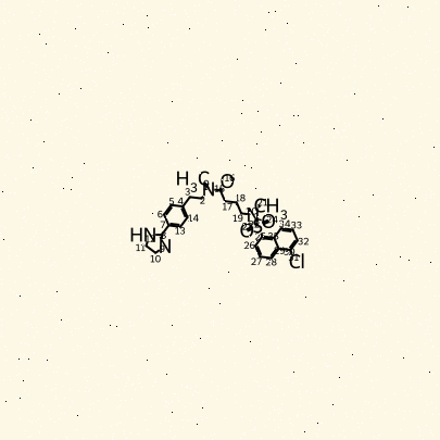 CN(CCc1ccc(C2=NCCN2)cc1)C(=O)CCCN(C)S(=O)(=O)c1cccc2c(Cl)cccc12